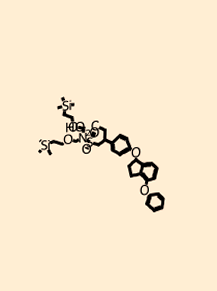 C[Si](C)(C)CCOCN(COCC[Si](C)(C)C)S(=O)(=O)CC(CC(=O)O)c1ccc(O[C@@H]2CCc3c(Oc4ccccc4)cccc32)cc1